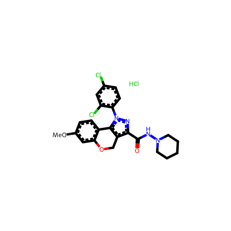 COc1ccc2c(c1)OCc1c(C(=O)NN3CCCCC3)nn(-c3ccc(Cl)cc3Cl)c1-2.Cl